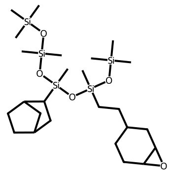 C[Si](C)(C)O[Si](C)(C)O[Si](C)(O[Si](C)(CCC1CCC2OC2C1)O[Si](C)(C)C)C1CC2CCC1C2